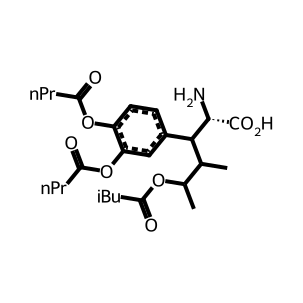 CCCC(=O)Oc1ccc(C(C(C)C(C)OC(=O)C(C)CC)[C@H](N)C(=O)O)cc1OC(=O)CCC